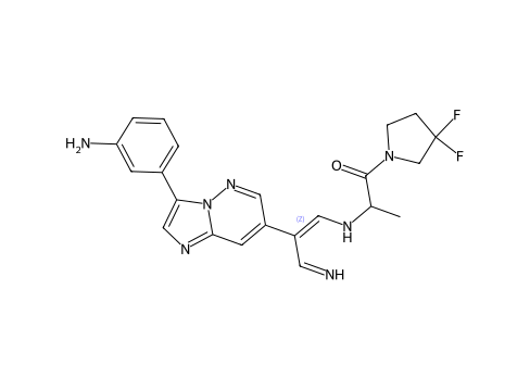 CC(N/C=C(\C=N)c1cnn2c(-c3cccc(N)c3)cnc2c1)C(=O)N1CCC(F)(F)C1